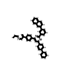 C=C(/C=N\C=C/C)c1ccc(-c2cc(-c3ccc(-c4ccccc4)cc3)nc(-c3cccc(-c4ccc5ccccc5c4)c3)n2)cc1